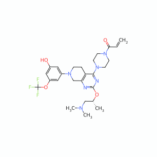 C=CC(=O)N1CCN(c2nc(O[C@H](C)CN(C)C)nc3c2CCN(c2cc(O)cc(OC(F)(F)F)c2)C3)CC1